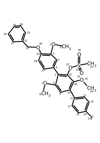 COc1cc(-c2c(OC)cc(-c3ccc(F)cc3)c(OC)c2OS(C)(=O)=O)ccc1OCc1ccccc1